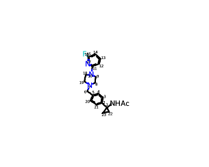 CC(=O)NC1(c2ccc(CN3CCN(c4cccc(F)n4)CC3)cc2)CC1